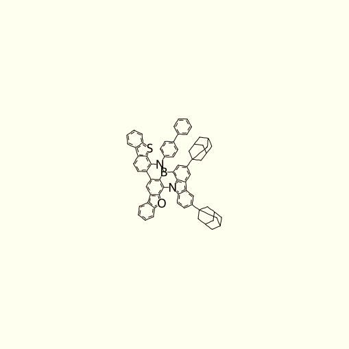 c1ccc(-c2ccc(N3B4c5c(cc6c(oc7ccccc76)c5-n5c6ccc(C78CC9CC(CC(C9)C7)C8)cc6c6cc(C78CC9CC(CC(C9)C7)C8)cc4c65)-c4ccc5c(sc6ccccc65)c43)cc2)cc1